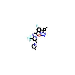 CC1CC(c2cc(F)cc(-c3cnc4c(C(F)(F)F)cc(CN5CCC[C@H](C)C5)cn4c3=O)c2)(c2nncn2C)C1